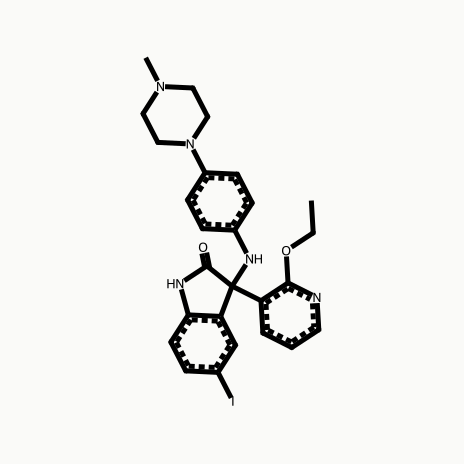 CCOc1ncccc1C1(Nc2ccc(N3CCN(C)CC3)cc2)C(=O)Nc2ccc(I)cc21